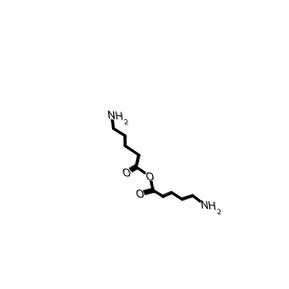 NCCCCC(=O)OC(=O)CCCCN